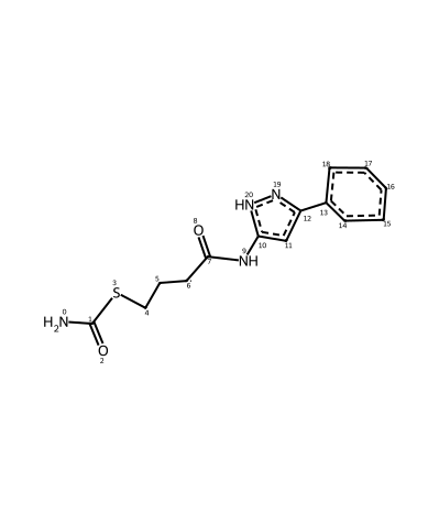 NC(=O)SCC[CH]C(=O)Nc1cc(-c2ccccc2)n[nH]1